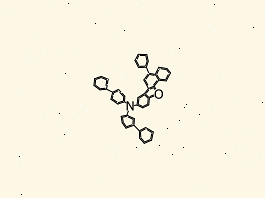 c1ccc(-c2ccc(N(c3cccc(-c4ccccc4)c3)c3ccc4oc5c6ccccc6c(-c6ccccc6)cc5c4c3)cc2)cc1